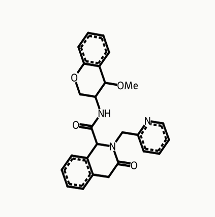 COC1c2ccccc2OCC1NC(=O)C1c2ccccc2CC(=O)N1Cc1ccccn1